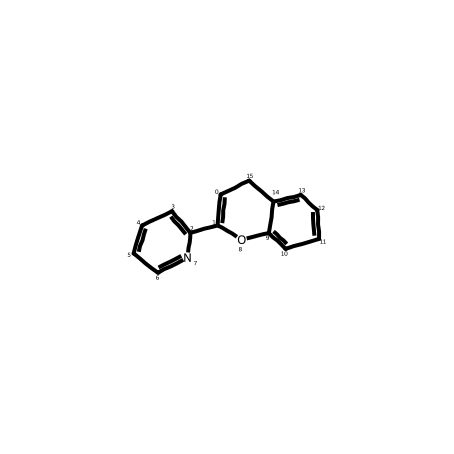 C1=C(c2ccccn2)Oc2ccccc2C1